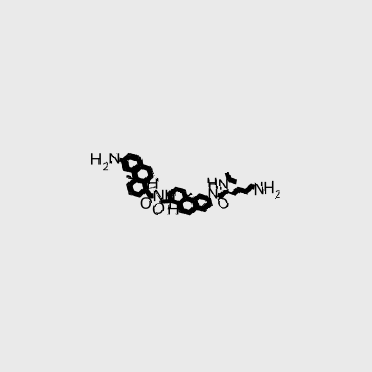 CC(C)N[C@@H](CCCCN)C(=O)Nc1ccc2c(c1)[C@@]1(C)CCC[C@](C)(C(=O)NC(=O)[C@@]3(C)CCC[C@]4(C)c5cc(N)ccc5CC[C@@H]34)[C@@H]1CC2